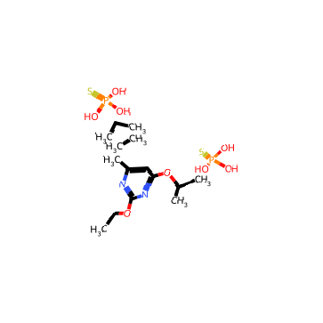 CC.CCC.CCOc1nc(C)cc(OC(C)C)n1.OP(O)(O)=S.OP(O)(O)=S